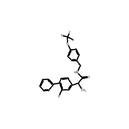 CC(C(=O)NCc1ccc(OC(F)(F)F)cc1)c1ccc(-c2ccccc2)c(F)c1